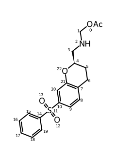 CC(=O)OCNC[C@H]1CCc2ccc(S(=O)(=O)c3ccccc3)cc2O1